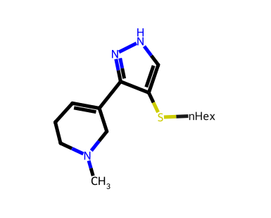 CCCCCCSc1c[nH]nc1C1=CCCN(C)C1